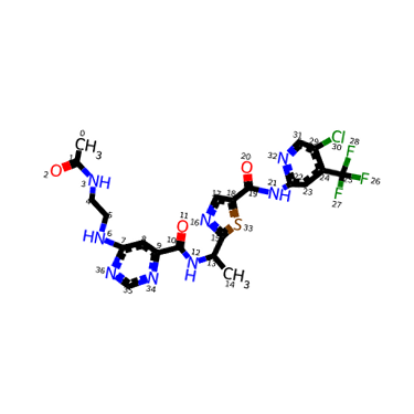 CC(=O)NCCNc1cc(C(=O)NC(C)c2ncc(C(=O)Nc3cc(C(F)(F)F)c(Cl)cn3)s2)ncn1